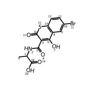 CC(NC(=O)c1c(O)c2cc(Br)ccc2sc1=O)C(=O)O